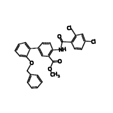 COC(=O)c1cc(-c2ccccc2OCc2ccccc2)ccc1NC(=O)c1ccc(Cl)cc1Cl